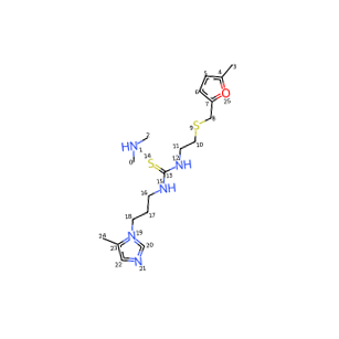 CNC.Cc1ccc(CSCCNC(=S)NCCCn2cncc2C)o1